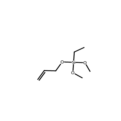 C=CCO[Si](CC)(OC)OC